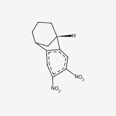 O=[N+]([O-])c1cc2c(cc1[N+](=O)[O-])[C@H]1CCCC2C1